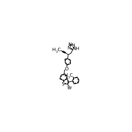 CC#CC(Cc1nnn[nH]1)c1ccc(OCc2ccc3sc(Br)c(-c4ccccc4C)c3c2)cc1